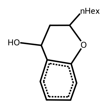 CCCCCCC1CC(O)c2ccccc2O1